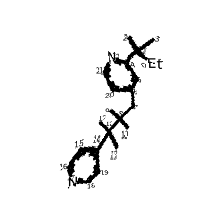 CCC(C)(C)c1cc(CC(C)(C)C(C)(C)c2ccncc2)ccn1